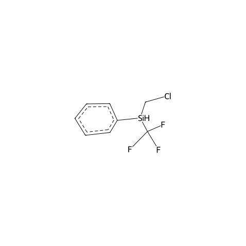 FC(F)(F)[SiH](CCl)c1ccccc1